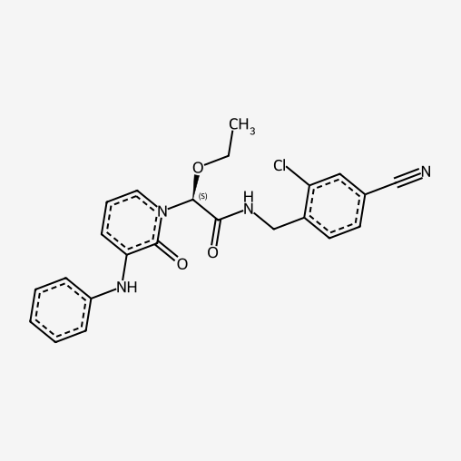 CCO[C@@H](C(=O)NCc1ccc(C#N)cc1Cl)n1cccc(Nc2ccccc2)c1=O